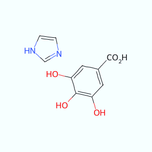 O=C(O)c1cc(O)c(O)c(O)c1.c1c[nH]cn1